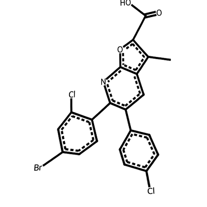 Cc1c(C(=O)O)oc2nc(-c3ccc(Br)cc3Cl)c(-c3ccc(Cl)cc3)cc12